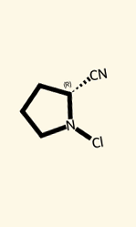 N#C[C@H]1CCCN1Cl